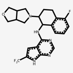 Fc1cccc2c1CCC(N1CC3COCC3C1)C2Nc1ncnc2[nH]c(C(F)(F)F)cc12